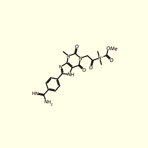 COC(=O)[N+](C)(C)C(=O)Cn1c(=O)c2[nH]c(-c3ccc(C(=N)N)cc3)nc2n(C)c1=O